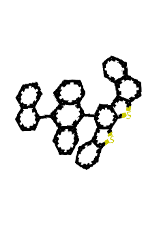 c1ccc2c(-c3c4ccccc4c(-c4cc5c(sc6ccc7ccccc7c65)c5sc6ccccc6c45)c4ccccc34)cccc2c1